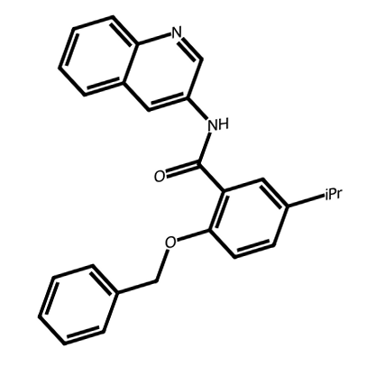 CC(C)c1ccc(OCc2ccccc2)c(C(=O)Nc2cnc3ccccc3c2)c1